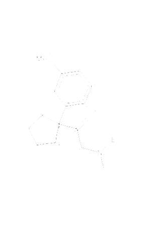 CCN(CC)CC(=O)C1(c2cccc(OC)c2)CCCC1